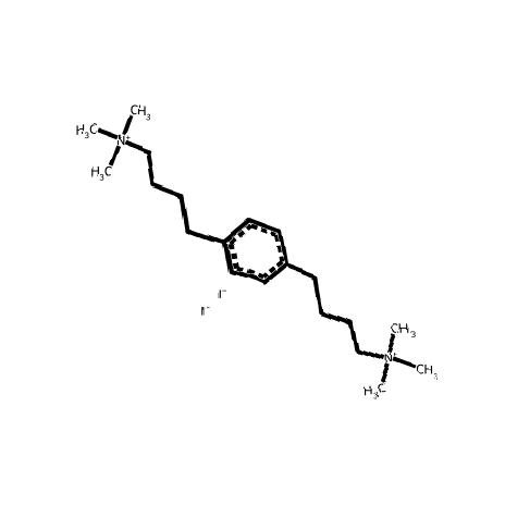 C[N+](C)(C)CCCCc1ccc(CCCC[N+](C)(C)C)cc1.[I-].[I-]